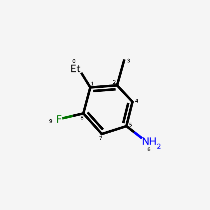 CCc1c(C)cc(N)cc1F